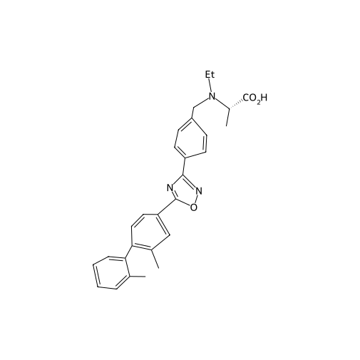 CCN(Cc1ccc(-c2noc(-c3ccc(-c4ccccc4C)c(C)c3)n2)cc1)[C@@H](C)C(=O)O